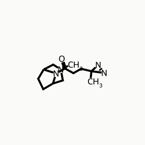 CN1CC2CCC(C1)N2C(=O)CCC1(C)N=N1